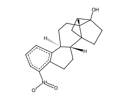 C[C@]12CC[C@@H]3c4cccc([N+](=O)[O-])c4CC[C@H]3C13CCC2(O)CC3